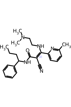 CCCC(NC(=O)/C(C#N)=C(\NCCN(C)C)c1cccc(C)n1)c1ccccc1